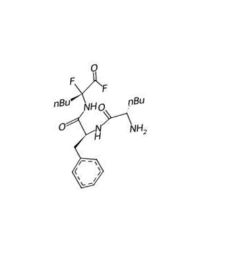 CCCC[C@H](N)C(=O)N[C@@H](Cc1ccccc1)C(=O)N[C@@](F)(CCCC)C(=O)F